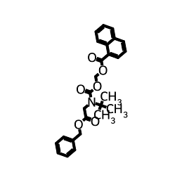 CC(C)(C)N(CC(=O)OCc1ccccc1)C(=O)OCOC(=O)c1cccc2ccccc12